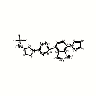 CC(C)(C)N[C@@H]1CCN(c2ncc(-c3ccc(-n4cccn4)c4[nH]ncc34)nn2)C1